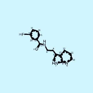 O=C(NCCc1c[nH]c2ncccc12)c1cccc(F)c1